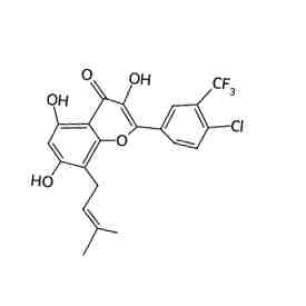 CC(C)=CCc1c(O)cc(O)c2c(=O)c(O)c(-c3ccc(Cl)c(C(F)(F)F)c3)oc12